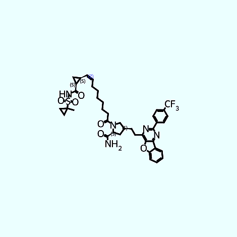 CC1(S(=O)(=O)NC(=O)[C@H]2C[C@H]2/C=C\CCCCCCC(=O)N2C[C@@H](CCc3nc(-c4ccc(C(F)(F)F)cc4)nc4c3oc3ccccc34)C[C@H]2C(N)=O)CC1